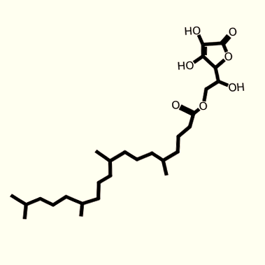 CC(C)CCCC(C)CCCC(C)CCCC(C)CCCC(=O)OCC(O)C1OC(=O)C(O)=C1O